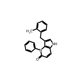 Cc1ccccc1Cc1c[nH]c2ccc(=O)n(-c3ccccc3)c12